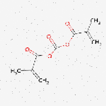 C=C(C)C(=O)OC(=O)OC(=O)C(=C)C